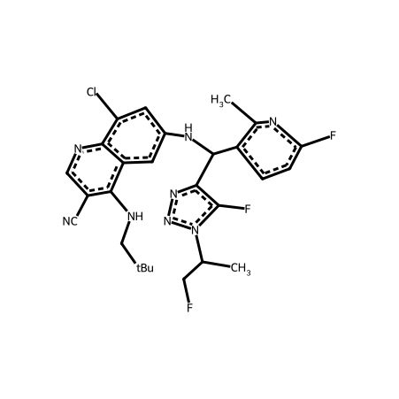 Cc1nc(F)ccc1C(Nc1cc(Cl)c2ncc(C#N)c(NCC(C)(C)C)c2c1)c1nnn(C(C)CF)c1F